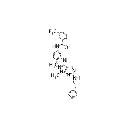 Cc1ccc(NC(=O)c2cccc(C(F)(F)F)c2)cc1Nc1nn(C)c2nc(NCCc3ccncc3)ncc12